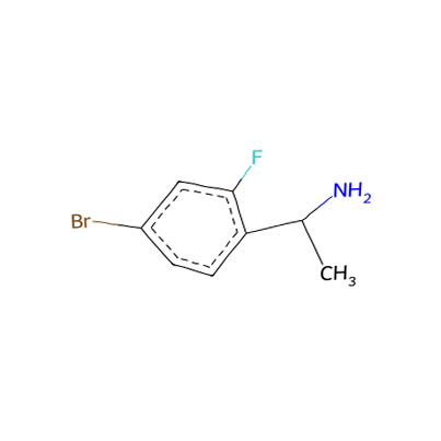 CC(N)c1ccc(Br)cc1F